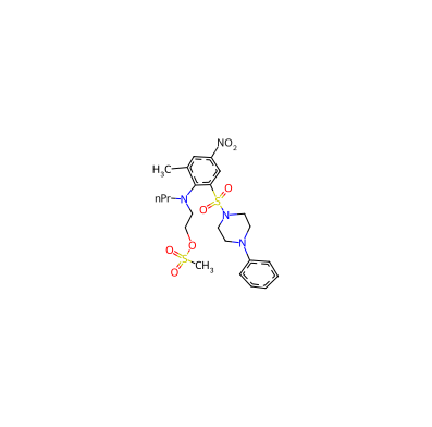 CCCN(CCOS(C)(=O)=O)c1c(C)cc([N+](=O)[O-])cc1S(=O)(=O)N1CCN(c2ccccc2)CC1